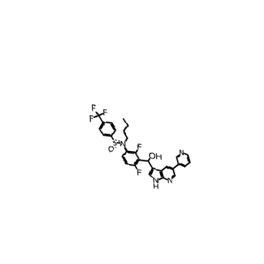 CCCCN(c1ccc(F)c(C(O)c2c[nH]c3ncc(-c4cccnc4)cc23)c1F)[S+]([O-])c1ccc(C(F)(F)F)cc1